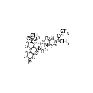 CC(OCC(F)(F)F)c1ccc(N2CCN(C(=O)c3cc(S(C)(=O)=O)ccc3-c3ccc(F)cc3)CC2)c(F)c1